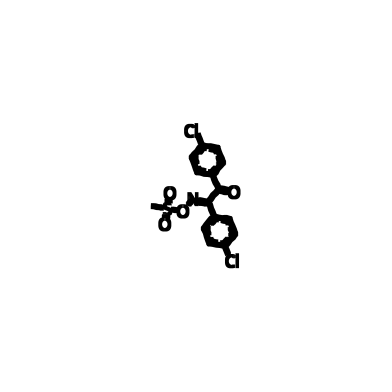 CS(=O)(=O)ON=C(C(=O)c1ccc(Cl)cc1)c1ccc(Cl)cc1